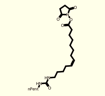 CCCCCNC(=O)NCCCC/C=C\CCCCCCC(=O)ON1C(=O)CCC1=O